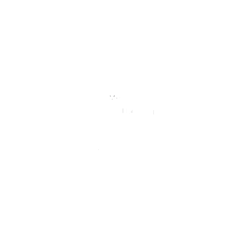 CC=C[SiH](CC)OC